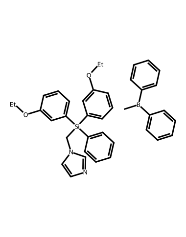 CB(c1ccccc1)c1ccccc1.CCOc1cccc([Si](Cn2ccnc2)(c2ccccc2)c2cccc(OCC)c2)c1